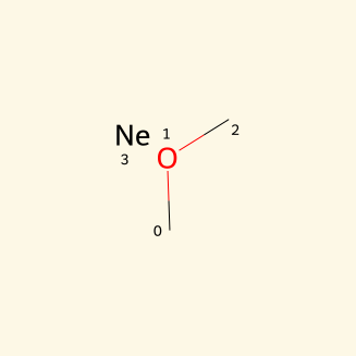 COC.[Ne]